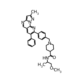 COCC(C)NC(=O)C1CCN(Cc2ccc(-c3nc4c(cnc5cc(C)nn54)cc3-c3ccccc3)cc2)CC1